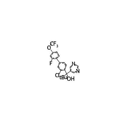 CC(C)(C)C(O)(c1cncnc1)c1ccc(-c2ccc(OC(F)(F)F)cc2F)cc1Cl